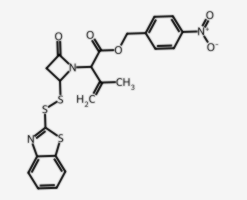 C=C(C)C(C(=O)OCc1ccc([N+](=O)[O-])cc1)N1C(=O)CC1SSc1nc2ccccc2s1